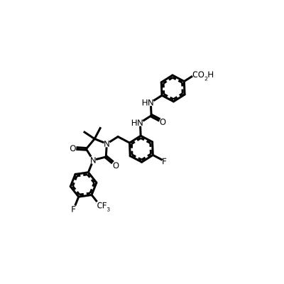 CC1(C)C(=O)N(c2ccc(F)c(C(F)(F)F)c2)C(=O)N1Cc1ccc(F)cc1NC(=O)Nc1ccc(C(=O)O)cc1